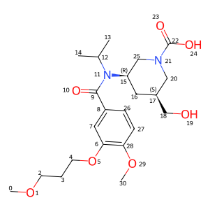 COCCCOc1cc(C(=O)N(C(C)C)[C@@H]2C[C@H](CO)CN(C(=O)O)C2)ccc1OC